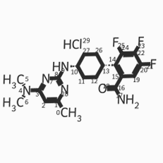 Cc1cc(N(C)C)nc(N[C@H]2CC[C@@H](c3c(C(N)=O)cc(F)c(F)c3F)CC2)n1.Cl